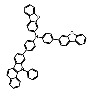 c1ccc(-n2c3cc(-c4ccc(N(c5ccc(-c6ccc7c(c6)oc6ccccc67)cc5)c5ccc6c(c5)oc5ccccc56)cc4)ccc3c3ccc4ccccc4c32)cc1